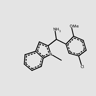 COc1ccc(Cl)cc1C(N)c1cc2ccccc2n1C